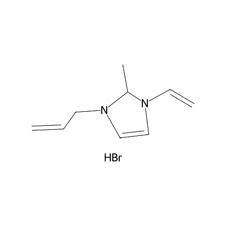 Br.C=CCN1C=CN(C=C)C1C